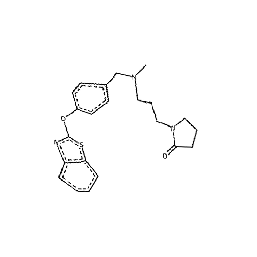 CN(CCCN1CCCC1=O)Cc1ccc(Oc2nc3ccccc3s2)cc1